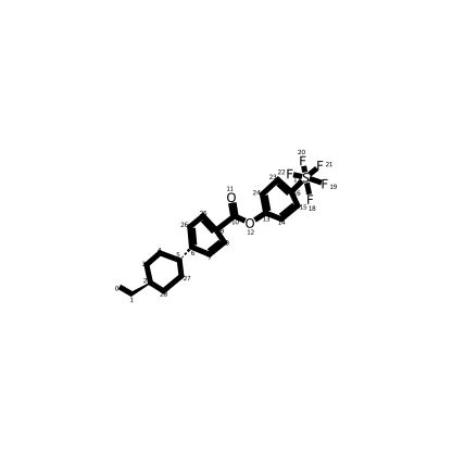 CC[C@H]1CC[C@H](c2ccc(C(=O)Oc3ccc(S(F)(F)(F)(F)F)cc3)cc2)CC1